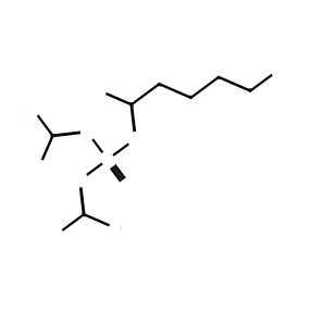 CCCCCC(C)OP(=O)(OC(C)C)OC(C)C